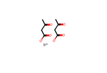 CC(=O)CC(=O)[O-].CC(=O)CC(=O)[O-].[Ti+2]